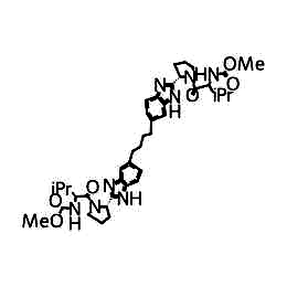 COC(=O)NC(C(=O)N1CCC[C@H]1c1nc2ccc(CCCCc3ccc4[nH]c([C@@H]5CCCN5C(=O)[C@@H](NC(=O)OC)C(C)C)nc4c3)cc2[nH]1)C(C)C